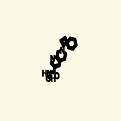 O=C(NO)c1cnc2c(c1)CCN(C1CCC13CCCCC3)C2